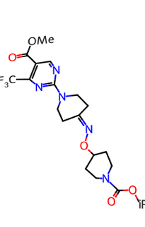 COC(=O)c1cnc(N2CCC(=NOC3CCN(C(=O)OC(C)C)CC3)CC2)nc1C(F)(F)F